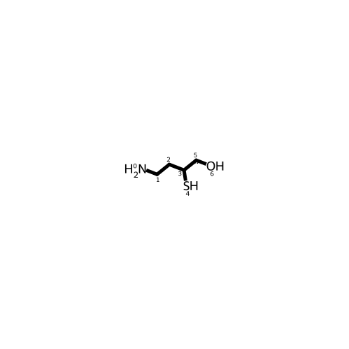 NCCC(S)[C]O